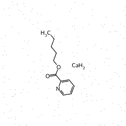 CCCCCOC(=O)c1ccccn1.[CaH2]